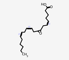 CCCCC/C=C\C/C=C\CC1OC1C/C=C\CCCC(=O)O